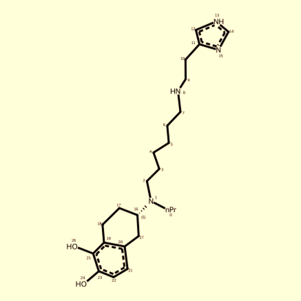 CCCN(CCCCCCNCCc1c[nH]cn1)[C@H]1CCc2c(ccc(O)c2O)C1